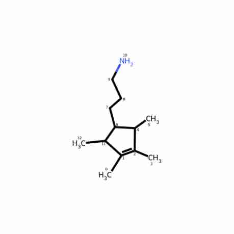 CC1=C(C)C(C)C(CCCN)C1C